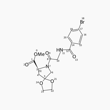 COC(=O)[C@@H]1CC2(CN1C(=O)CNC(=O)c1ccc(Br)cc1)OCCO2